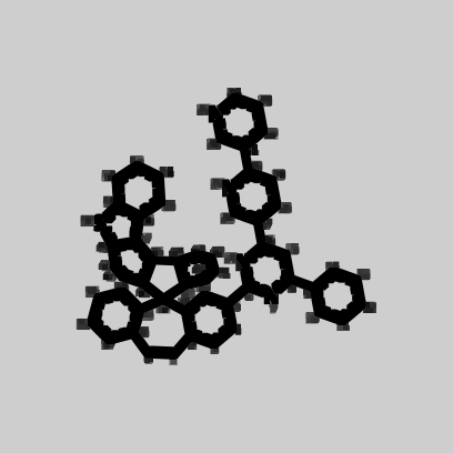 C1=Cc2ccc(-c3nc(-c4ccccc4)cc(-c4ccc(-c5cccnc5)nc4)n3)cc2C2(c3ccccc31)c1ccccc1-c1c2ccc2sc3ccccc3c12